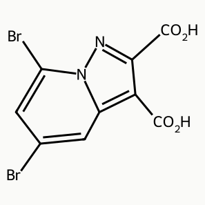 O=C(O)c1nn2c(Br)cc(Br)cc2c1C(=O)O